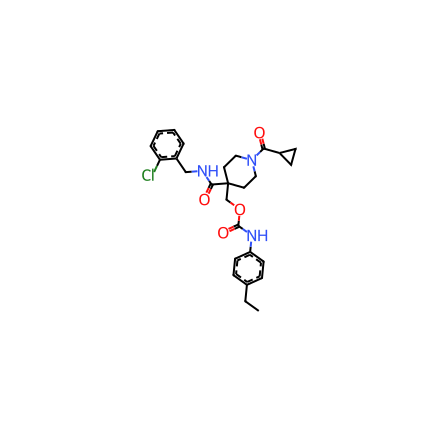 CCc1ccc(NC(=O)OCC2(C(=O)NCc3ccccc3Cl)CCN(C(=O)C3CC3)CC2)cc1